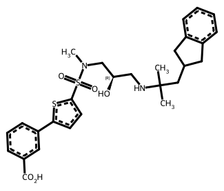 CN(C[C@H](O)CNC(C)(C)CC1Cc2ccccc2C1)S(=O)(=O)c1ccc(-c2cccc(C(=O)O)c2)s1